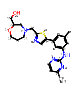 Cc1cc(Nc2nccc(C(F)(F)F)n2)cc(-c2cnc(CN3CCCOC(CO)C3)s2)c1